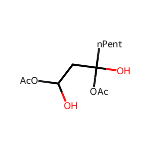 CCCCCC(O)(CC(O)OC(C)=O)OC(C)=O